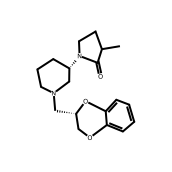 CC1CCN([C@H]2CCCN(C[C@H]3COc4ccccc4O3)C2)C1=O